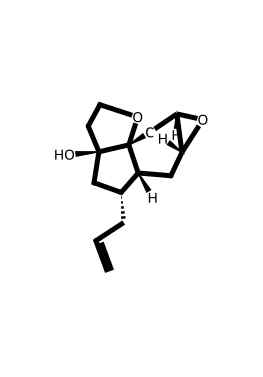 C=CC[C@@H]1C[C@]2(O)CCO[C@@]23C[C@@H]2O[C@@H]2C[C@H]13